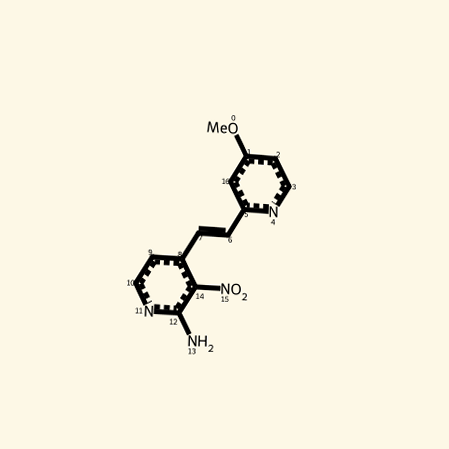 COc1ccnc(C=Cc2ccnc(N)c2[N+](=O)[O-])c1